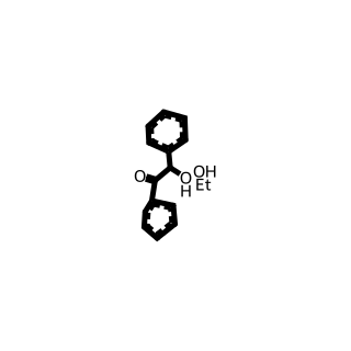 CCO.O=C(c1ccccc1)C(O)c1ccccc1